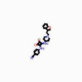 N#Cc1ccc(Nc2c(NC3CCN(CCc4coc5ccccc45)CC3)c(=O)c2=O)cc1